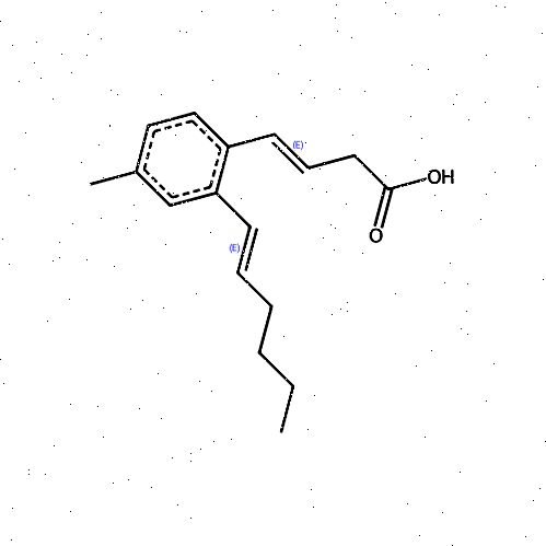 CCCC/C=C/c1cc(C)ccc1/C=C/CC(=O)O